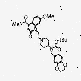 CNC(=O)c1cc(=O)n(CCN2CCC(N(Cc3ccc4c(c3)OCCO4)C(=O)OC(C)(C)C)CC2)c2cc(OC)ccc12